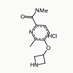 CNC(=O)c1ccc(OC2CNC2)c(C)n1.Cl